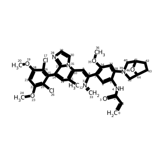 C=CC(=O)Nc1cc(/C(=C/c2c(C)cc(-c3c(Cl)c(OC)cc(OC)c3Cl)c3nccn23)N=C)c(OC)cc1N1CC2CCC(C1)O2